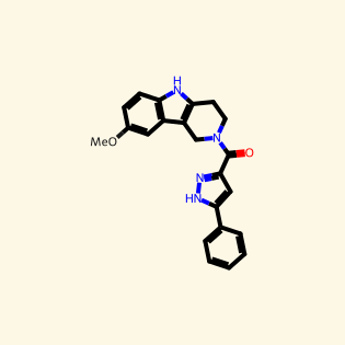 COc1ccc2[nH]c3c(c2c1)CN(C(=O)c1cc(-c2ccccc2)[nH]n1)CC3